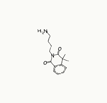 CC1(C)C(=O)N(CCCCN)C(=O)c2ccccc21